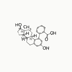 C[C@]12CC[C@@H]3c4c(cc(O)cc4-c4ccccc4C(=O)O)CC[C@H]3[C@@H]1CC[C@H]2O